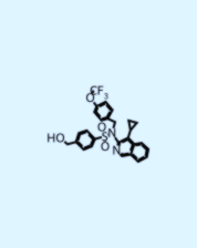 O=S(=O)(c1ccc(CO)cc1)N(Cc1ccc(OC(F)(F)F)cc1)c1ncc2ccccc2c1C1CC1